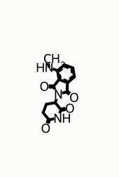 CNc1cccc2c1C(=O)N(C1CCC(=O)NC1=O)C2=O